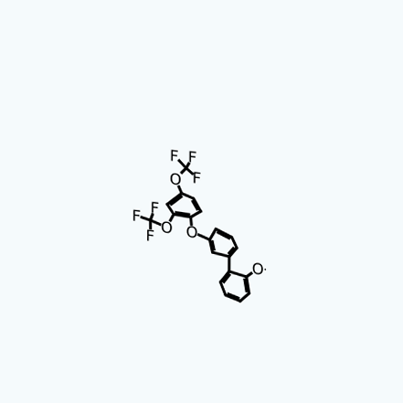 [O]c1ccccc1-c1cccc(Oc2ccc(OC(F)(F)F)cc2OC(F)(F)F)c1